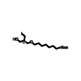 CCCCCCCCCCCCCCCCOC[C@@H](CO)CI